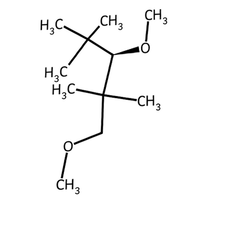 COCC(C)(C)[C@H](OC)C(C)(C)C